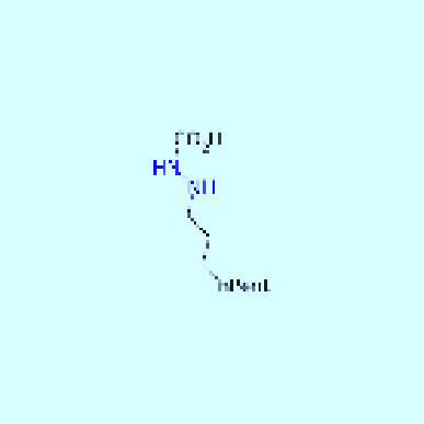 CCCCCCCCNNC(=O)O